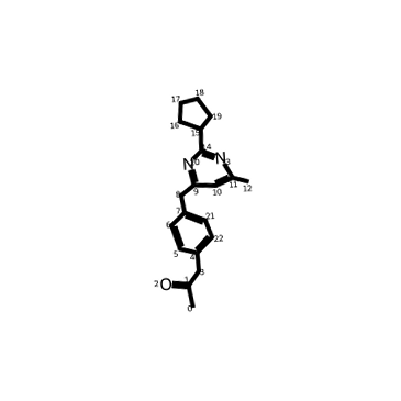 CC(=O)Cc1ccc(Cc2cc(C)nc(C3CCCC3)n2)cc1